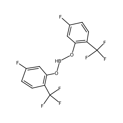 Fc1ccc(C(F)(F)F)c(OBOc2cc(F)ccc2C(F)(F)F)c1